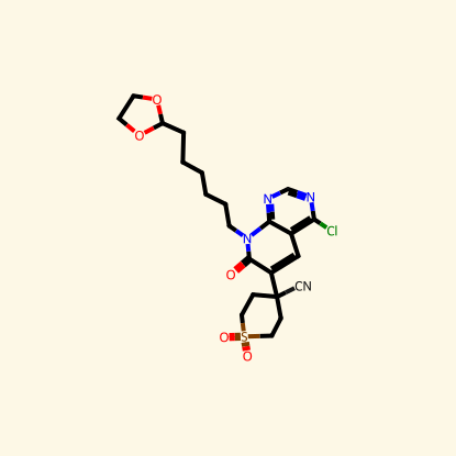 N#CC1(c2cc3c(Cl)ncnc3n(CCCCCCC3OCCO3)c2=O)CCS(=O)(=O)CC1